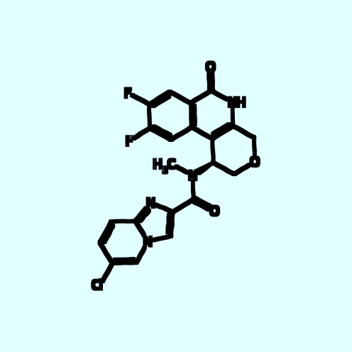 CN(C(=O)c1cn2cc(Cl)ccc2n1)[C@@H]1COCc2[nH]c(=O)c3cc(F)c(F)cc3c21